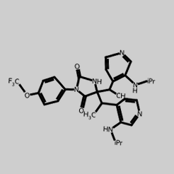 CC(C)Nc1cnccc1C(C)C1(C(C)c2ccncc2NC(C)C)NC(=O)N(c2ccc(OC(F)(F)F)cc2)C1=O